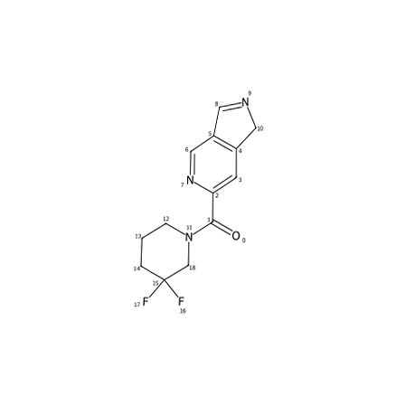 O=C(c1cc2c(cn1)C=NC2)N1CCCC(F)(F)C1